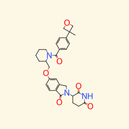 CC1(c2ccc(C(=O)N3CCCCC3COc3ccc4c(c3)CN(C3CCC(=O)NC3=O)C4=O)cc2)COC1